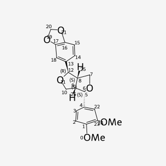 COc1ccc([C@H]2OC[C@@H]3[C@H]2CO[C@H]3c2ccc3c(c2)OCO3)cc1OC